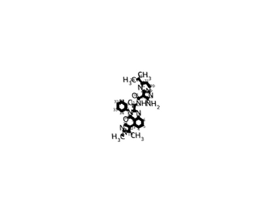 Cc1c(-c2cccc3nc([C@H](C)NC(=O)c4c(N)nn5ccc(C(C)C)nc45)n(-c4ccccc4)c(=O)c23)cnn1C